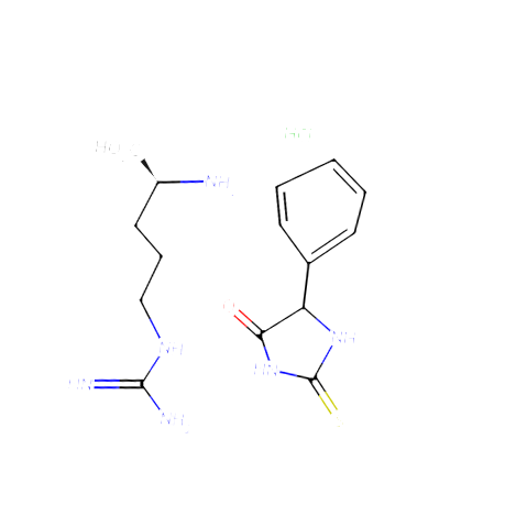 Cl.N=C(N)NCCC[C@H](N)C(=O)O.O=C1NC(=S)NC1c1ccccc1